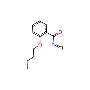 CCCCOc1ccccc1C(=O)[N]=[Ti]